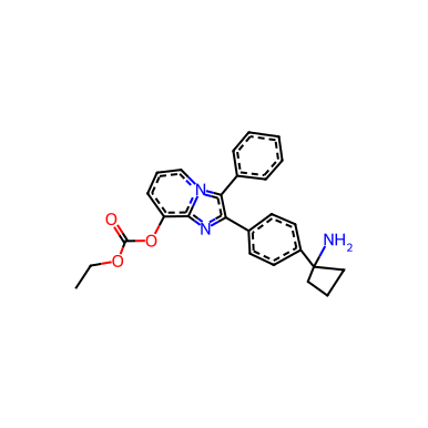 CCOC(=O)Oc1cccn2c(-c3ccccc3)c(-c3ccc(C4(N)CCC4)cc3)nc12